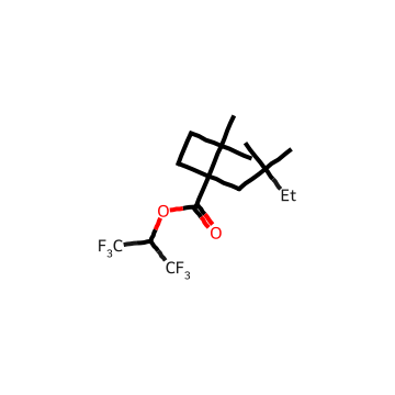 CCC(C)(C)CC1(C(=O)OC(C(F)(F)F)C(F)(F)F)CCC1(C)C